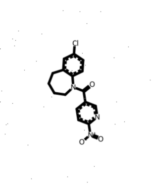 O=C(c1ccc([N+](=O)[O-])nc1)N1CCCCc2cc(Cl)ccc21